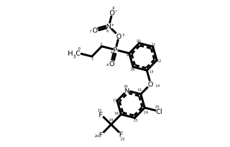 CCCP(=O)(O[N+](=O)[O-])c1cccc(Oc2ncc(C(F)(F)F)cc2Cl)c1